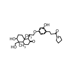 CC1(CO)C(O)CCC2(C)C(CCOc3ccc(CCC(=O)N4CCCC4)c(O)c3)C(=O)CCC12